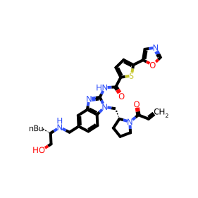 C=CC(=O)N1CCC[C@@H]1Cn1c(NC(=O)c2ccc(-c3cnco3)s2)nc2cc(CN[C@H](CO)CCCC)ccc21